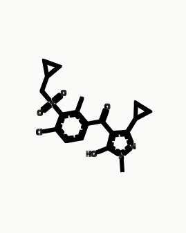 Cc1c(C(=O)c2c(C3CC3)nn(C)c2O)ccc(Cl)c1S(=O)(=O)CC1CC1